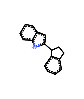 c1ccc2c(c1)CCC2c1cc2ccccc2[nH]1